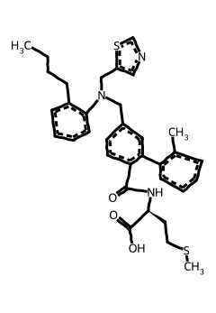 CCCCc1ccccc1N(Cc1ccc(C(=O)N[C@@H](CCSC)C(=O)O)c(-c2ccccc2C)c1)Cc1cncs1